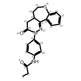 CCC(=O)Nc1ccc(N2N=C3c4ccccc4SCCC3CC2=O)cc1